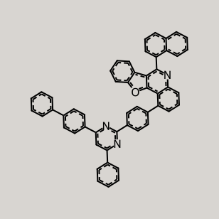 c1ccc(-c2ccc(-c3cc(-c4ccccc4)nc(-c4ccc(-c5cccc6nc(-c7cccc8ccccc78)c7c8ccccc8oc7c56)cc4)n3)cc2)cc1